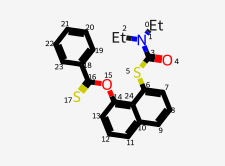 CCN(CC)C(=O)Sc1cccc2cccc(OC(=S)c3ccccc3)c12